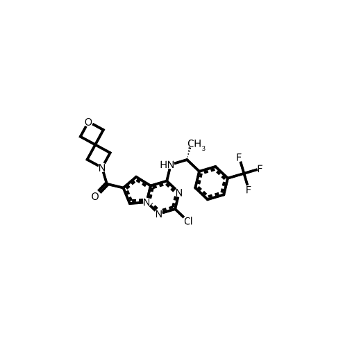 C[C@@H](Nc1nc(Cl)nn2cc(C(=O)N3CC4(COC4)C3)cc12)c1cccc(C(F)(F)F)c1